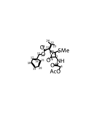 CSC1C(NC(=O)COC(C)=O)C(=O)N1C(C(=O)OCc1ccccc1)=C(C)C